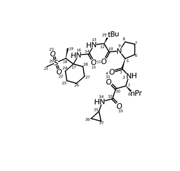 CCC[C@H](NC(=O)[C@@H]1CCCN1C(=O)[C@@H](NC(=O)NC1([C@H](C)S(C)(=O)=O)CCCCC1)C(C)(C)C)C(=O)C(=O)NC1CC1